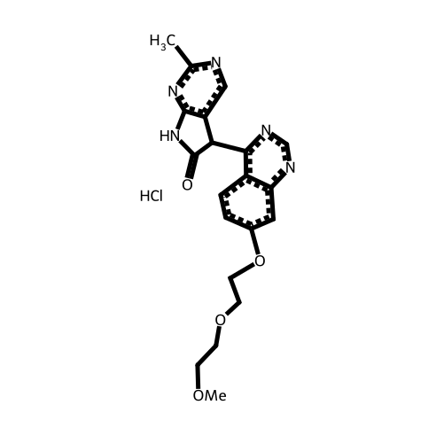 COCCOCCOc1ccc2c(C3C(=O)Nc4nc(C)ncc43)ncnc2c1.Cl